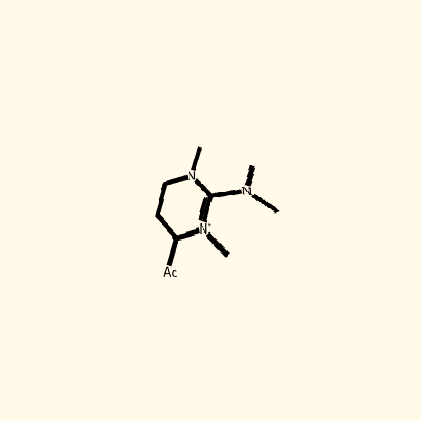 CC(=O)C1CCN(C)C(N(C)C)=[N+]1C